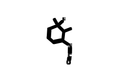 CC1C(N=C=O)=CC=CC1(C)F